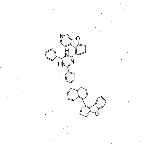 c1ccc(C2NC(c3ccc(-c4cccc5c(-c6cccc7oc8ccccc8c67)cccc45)cc3)=NC(c3cccc4oc5cnccc5c34)N2)cc1